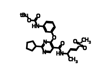 CC(/C=C/S(C)(=O)=O)NC(=O)c1cnc(C2CCCC2)nc1Oc1cccc(NC(=O)OC(C)(C)C)c1